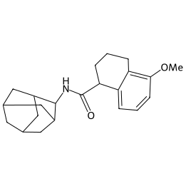 COc1cccc2c1CCCC2C(=O)NC1C2CC3CC(C2)CC1C3